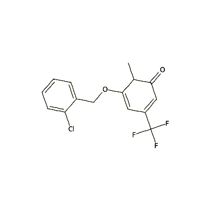 CC1C(=O)C=C(C(F)(F)F)C=C1OCc1ccccc1Cl